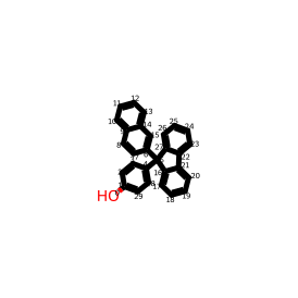 Oc1ccc(C2(c3ccc4ccccc4c3)c3ccccc3-c3ccccc32)cc1